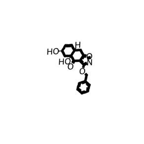 O=C1c2c(OCc3ccccc3)noc2C[C@@H]2C=C[C@@H](O)C[C@]12O